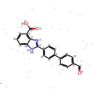 O=Cc1ccc(-c2ccc(-c3nc4c(C(=O)O)cccc4[nH]3)cc2)cc1